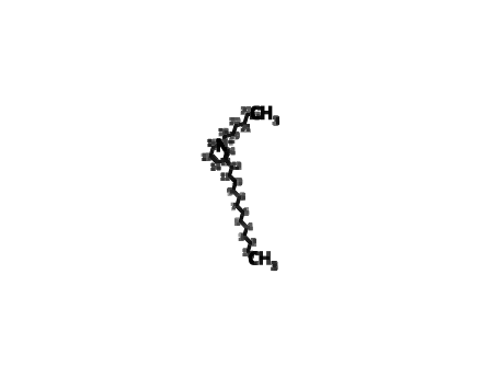 CCCCCCCCCCCCCc1ccc[n+](CCCCCC)c1